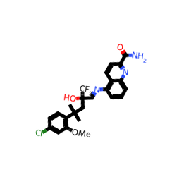 COc1cc(Cl)ccc1C(C)(C)CC(O)(/C=N/c1cccc2nc(C(N)=O)ccc12)C(F)(F)F